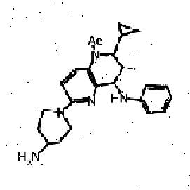 CC(=O)N1c2ccc(N3CCC(N)CC3)nc2[C@H](Nc2ccccc2)[C@@H](C)C1C1CC1